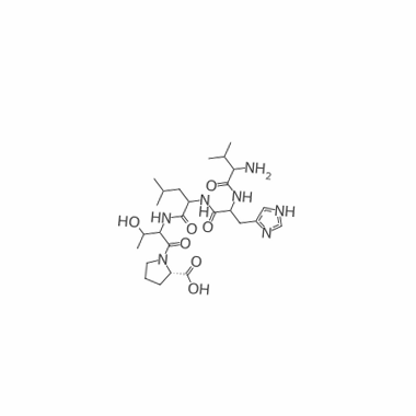 CC(C)CC(NC(=O)C(Cc1c[nH]cn1)NC(=O)C(N)C(C)C)C(=O)NC(C(=O)N1CCC[C@H]1C(=O)O)C(C)O